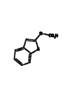 O=C(O)Oc1cc2ccccc2s1